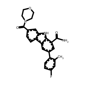 Cc1cc(F)ccc1-c1cc(C(N)=O)c2[nH]c3cc(C(=O)N4CCOCC4)ccc3c2c1